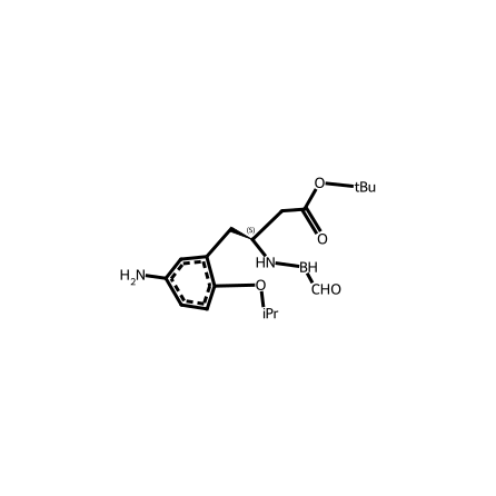 CC(C)Oc1ccc(N)cc1C[C@@H](CC(=O)OC(C)(C)C)NBC=O